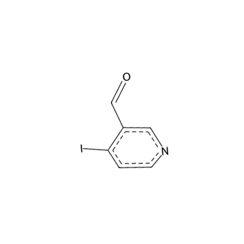 O=Cc1cnccc1I